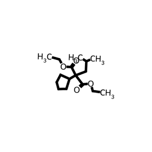 CCOC(=O)C(CC(C)C)(C(=O)OCC)C1CCCC1